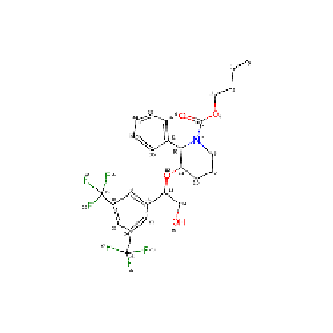 CCCCOC(=O)N1CCCC(OC(CO)c2cc(C(F)(F)F)cc(C(F)(F)F)c2)C1c1ccccc1